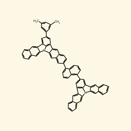 Cc1cc(C)cc(-c2cc3c4cc5ccccc5cc4n4c5cc6cc(-c7cccc8c(-c9cc%10c%11cc%12ccccc%12cc%11n%11c%12cc%13ccccc%13cc%12c(c9)c%10%11)cccc78)ccc6cc5c(c2)c34)c1